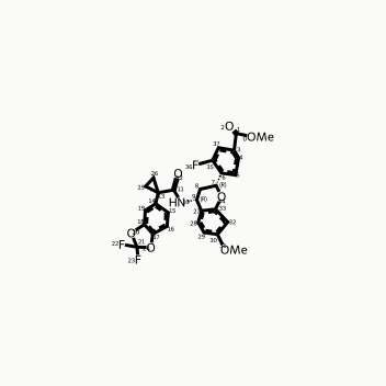 COC(=O)c1ccc([C@H]2C[C@@H](NC(=O)C3(c4ccc5c(c4)OC(F)(F)O5)CC3)c3ccc(OC)cc3O2)c(F)c1